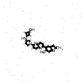 Cn1cc2cc(-c3ccc4nc(N5CCC(NC67CC(O)(C6)C7)C5)ccc4n3)c(O)cc2n1